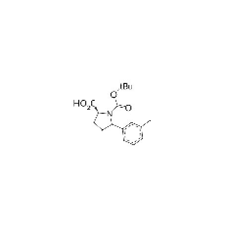 Cc1cccc(C2CC[C@@H](C(=O)O)N2C(=O)OC(C)(C)C)c1